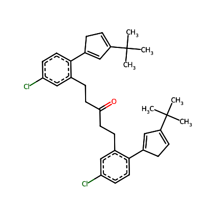 CC(C)(C)C1=CCC(c2ccc(Cl)cc2CCC(=O)CCc2cc(Cl)ccc2C2=CC(C(C)(C)C)=CC2)=C1